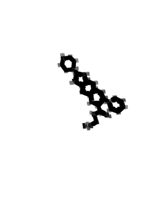 CCOC(=O)c1nc2cc3nc(N4CCOCC4)oc3cc2cc1-[n+]1ccccc1